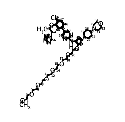 COCCOCCOCCOCCOCCOCCOCCOc1nn([C@H]2CC[C@H](N3CCOCC3)CC2)cc1Nc1ncc(-c2ccc(Cl)c(O[C@@H](C)Cn3cnnn3)c2)cn1